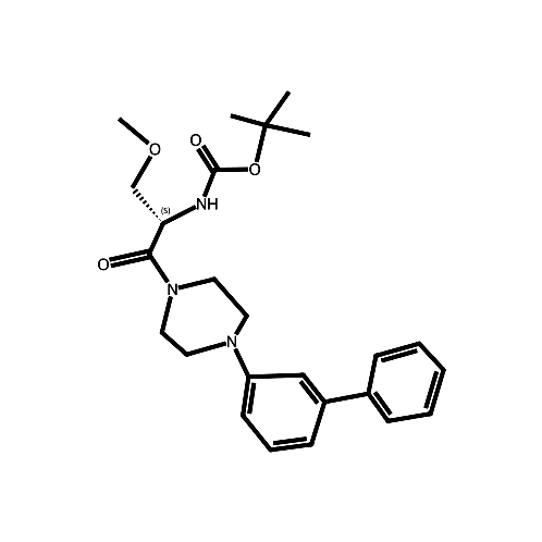 COC[C@H](NC(=O)OC(C)(C)C)C(=O)N1CCN(c2cccc(-c3ccccc3)c2)CC1